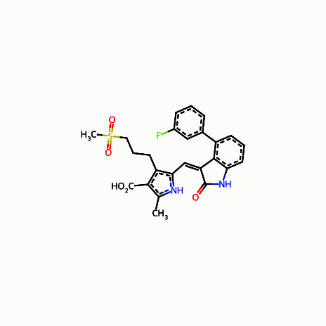 Cc1[nH]c(/C=C2\C(=O)Nc3cccc(-c4cccc(F)c4)c32)c(CCCS(C)(=O)=O)c1C(=O)O